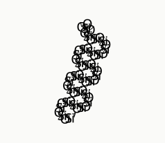 C=C[Si](C)(C)O[Si](C)(C)O[Si](C)(C)O[Si](C)(C)O[Si](C)(C)O[Si](C)(C)O[Si](C)(C)O[Si](C)(C)O[Si](C)(C)O[Si](C)(C)O[Si](C)(C)O[Si](C)(C)O[Si](C)(C)O[Si](C)(C)O[Si](C)(C)O[Si](C)(C)O[Si](C)(C)O[Si](C)(C)O[Si](C)(C)O[Si](C)(C)O[Si](C)(C)O[Si](C)(C)O[Si](C)(C)O[Si](C)(C)O[Si](C)(C)O[Si](C)(C)O[Si](OC)(OC)OC